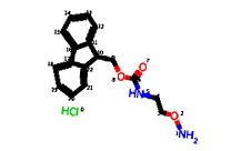 Cl.NOCCNC(=O)OCC1c2ccccc2-c2ccccc21